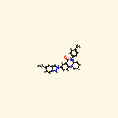 Cc1ccc(NC(=O)c2cc(-n3cc4cc(C(=O)O)ccc4n3)ccc2N2CCCCC2)cc1